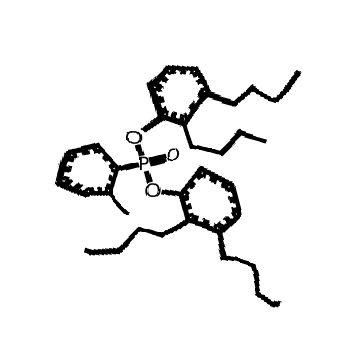 CCCCc1cccc(OP(=O)(Oc2cccc(CCCC)c2CCCC)c2ccccc2C)c1CCCC